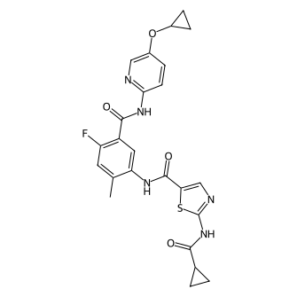 Cc1cc(F)c(C(=O)Nc2ccc(OC3CC3)cn2)cc1NC(=O)c1cnc(NC(=O)C2CC2)s1